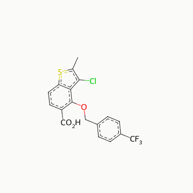 Cc1sc2ccc(C(=O)O)c(OCc3ccc(C(F)(F)F)cc3)c2c1Cl